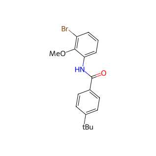 COc1c(Br)cccc1NC(=O)c1ccc(C(C)(C)C)cc1